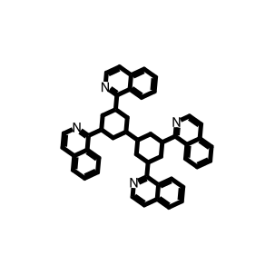 c1ccc2c(C3CC(c4nccc5ccccc45)CC(C4CC(c5nccc6ccccc56)CC(c5nccc6ccccc56)C4)C3)nccc2c1